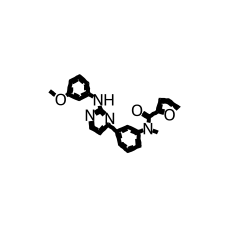 COc1cccc(Nc2nccc(-c3cccc(N(C)C(=O)c4ccco4)c3)n2)c1